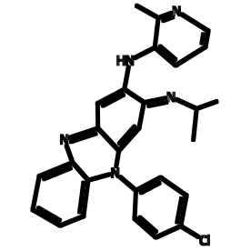 Cc1ncccc1Nc1cc2nc3ccccc3n(-c3ccc(Cl)cc3)c-2cc1=NC(C)C